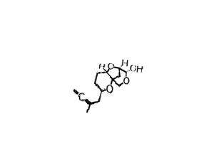 C=C=C(C)C[C@H]1CC[C@@H]2O[C@@H]3CC2(CO[C@H]3O)O1